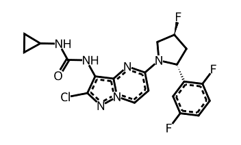 O=C(Nc1c(Cl)nn2ccc(N3C[C@@H](F)C[C@@H]3c3cc(F)ccc3F)nc12)NC1CC1